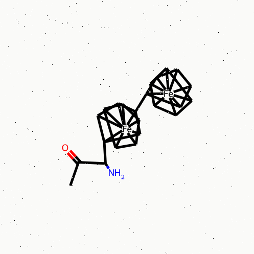 CC(=O)C(N)[C]12[CH]3[CH]4[C]5([C]67[CH]8[CH]9[CH]%10[CH]6[Fe]9%10876%11%12%13[CH]7[CH]6[CH]%11[CH]%12[CH]7%13)[CH]1[Fe]34251678[CH]2[CH]1[CH]6[CH]7[CH]28